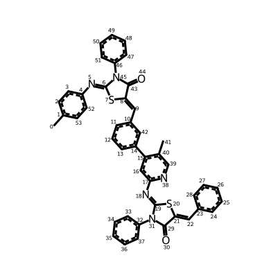 Cc1ccc(/N=C2\S/C(=C\c3cccc(-c4cc(/N=C5\S/C(=C\c6ccccc6)C(=O)N5c5ccccc5)ncc4C)c3)C(=O)N2c2ccccc2)cc1